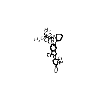 CC(C)(C)OC(=O)N1CCCC[C@H]1c1ccc2c(c1)CN(C1CCC(=O)NC1=O)C2=O